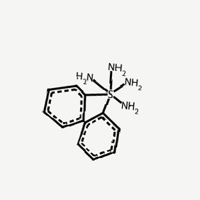 NS(N)(N)(N)(c1ccccc1)c1ccccc1